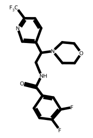 O=C(NCC(c1ccc(C(F)(F)F)nc1)N1CCOCC1)c1ccc(F)c(F)c1